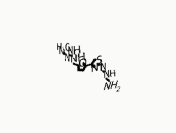 CNC(=NC#N)NCc1ccc(-c2csc(N=CNCCN)n2)o1